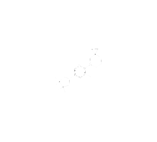 Cc1cc(B2OC(C)(C)C(C)(C)O2)cnc1N1CCOC2(CC2)C1